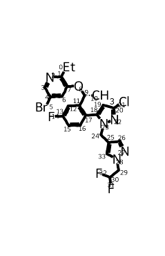 CCc1ncc(Br)cc1O[C@H](C)c1cc(F)ccc1-c1cc(Cl)nn1Cc1cnn(CC(F)F)c1